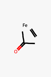 C=C.CC(C)=O.[Fe]